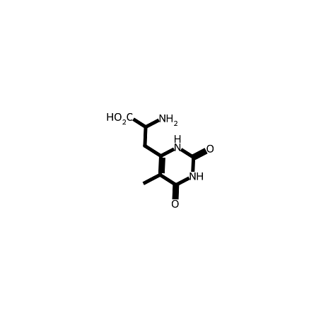 Cc1c(CC(N)C(=O)O)[nH]c(=O)[nH]c1=O